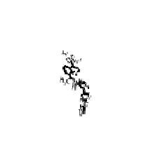 CNC(=O)c1ccnc2c([C@H](C)CNc3cc(-c4cnc(OC5COC5)nc4)ncn3)cccc12